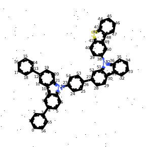 c1ccc(-c2ccc3c(c2)c2cc(-c4ccccc4)ccc2n3-c2ccc(-c3ccc4c5ccccc5n(-c5ccc6sc7ccccc7c6c5)c4c3)cc2)cc1